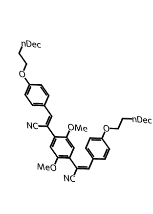 CCCCCCCCCCCCOc1ccc(C=C(C#N)c2cc(OC)c(C(C#N)=Cc3ccc(OCCCCCCCCCCCC)cc3)cc2OC)cc1